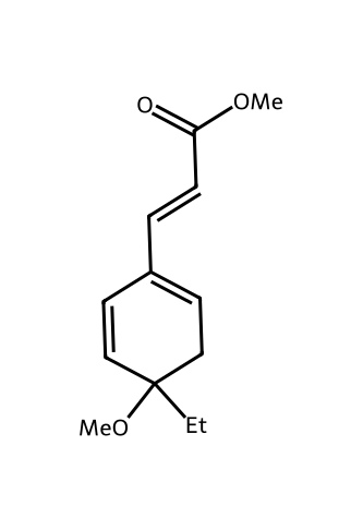 CCC1(OC)C=CC(C=CC(=O)OC)=CC1